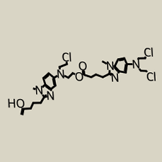 C=C(O)CCCc1nc2cc(N(CCCl)CCOC(=O)CCCc3nc4cc(N(CCCl)CCCl)ccc4n3C)ccc2n1C